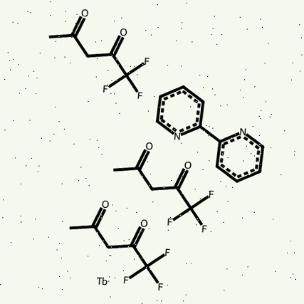 CC(=O)CC(=O)C(F)(F)F.CC(=O)CC(=O)C(F)(F)F.CC(=O)CC(=O)C(F)(F)F.[Tb].c1ccc(-c2ccccn2)nc1